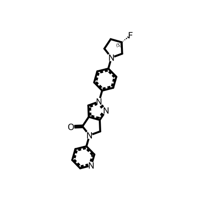 O=C1c2cn(-c3ccc(N4CC[C@H](F)C4)cc3)nc2CN1c1cccnc1